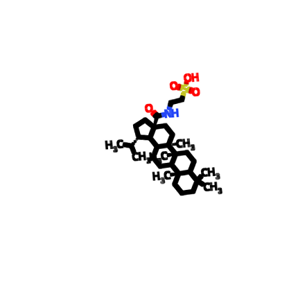 CC(C)[C@@H]1CC[C@]2(C(=O)NCCS(=O)(=O)O)CC[C@]3(C)C(CCC4[C@@]5(C)CCCC(C)(C)C5CC[C@]43C)C12